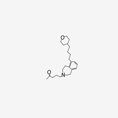 CC(=O)CCCN1CCc2cccc(CCCCC3CCOCC3)c2CC1